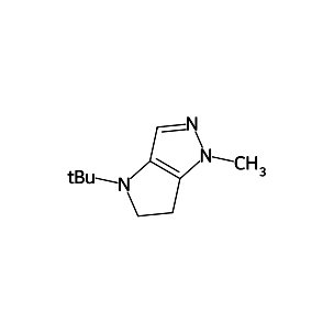 Cn1ncc2c1CCN2C(C)(C)C